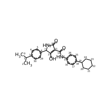 CC(C)c1ccc(C2NC(=O)C(C(=O)Nc3ccc(C4CCCCC4)cc3)=C2O)cc1